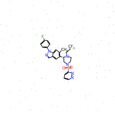 Cc1cc2c(cnn2-c2ccc(F)cc2)cc1[C@@H]1CN(S(=O)(=O)c2cccnn2)CCN1CCC(F)(F)F